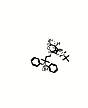 B[C@@H]1O[C@@]2(CCC(C)(C)[Si](O)(c3ccccc3)c3ccccc3)CC(C)[C@@H]1[C@@H]2O[Si](C)(C)C(C)(C)C